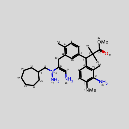 CNc1ccc(C(c2ccc(C)c(C/C(=C/N)N(N)CC3CCCCCC3)c2)C(C)(C)C(=O)OC)c(C)c1N